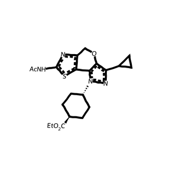 CCOC(=O)[C@H]1CC[C@H](n2nc(C3CC3)c3c2-c2sc(NC(C)=O)nc2CO3)CC1